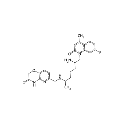 Cc1cc(=O)n(CC(N)CCCC(C)NCc2ccc3c(n2)NC(=O)CO3)c2cc(F)ccc12